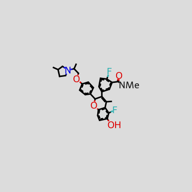 CNC(=O)c1cc(C2=C(C)c3c(ccc(O)c3F)OC2c2ccc(OCC(C)N3CCC(C)C3)cc2)ccc1F